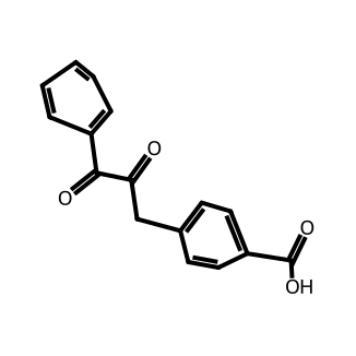 O=C(Cc1ccc(C(=O)O)cc1)C(=O)c1ccccc1